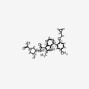 CCC(=O)N1C[C@@H](F)[C@H](NC(=O)c2c(C)[nH]c3c(-c4cc(C)ccc4OCC4CC4)ncnc23)C1